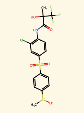 C[S+]([O-])c1ccc(S(=O)(=O)c2ccc(NC(=O)C(C)(O)C(F)(F)F)c(Cl)c2)cc1